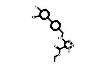 CCOC(=O)c1[nH]nnc1NCc1ccc(-c2ccc(Cl)c(Cl)c2)cc1